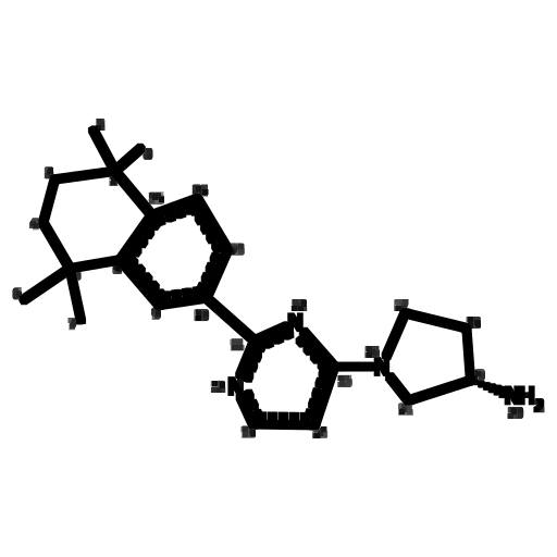 CC1(C)CCC(C)(C)c2cc(-c3nccc(N4CC[C@H](N)C4)n3)ccc21